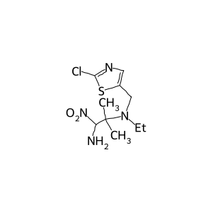 CCN(Cc1cnc(Cl)s1)C(C)(C)C(N)[N+](=O)[O-]